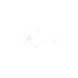 CC(C)(C)C1=NN(Cc2ccc(C(C)(C(=O)O)C3CCCC3)cc2)C(=O)CO1